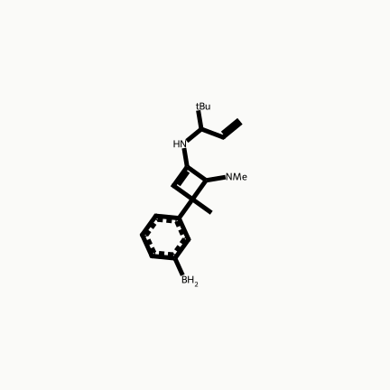 Bc1cccc(C2(C)C=C(NC(C=C)C(C)(C)C)C2NC)c1